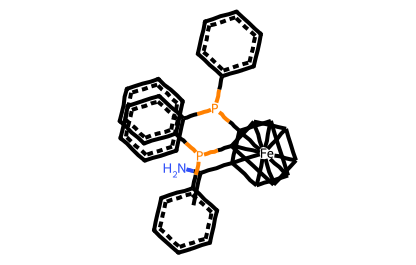 CC(N)[C]12[CH]3[CH]4[CH]5[C]1(P(c1ccccc1)c1ccccc1)[Fe]43521678[CH]2[CH]1[CH]6[C]7(P(c1ccccc1)c1ccccc1)[CH]28